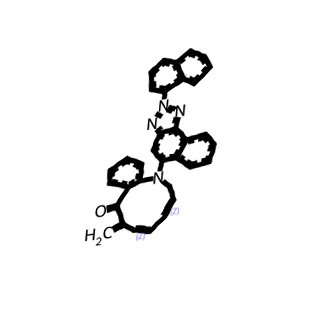 C=C1/C=C\C=C/CN(c2cc3nn(-c4cccc5ccccc45)nc3c3ccccc23)c2ccccc2C1=O